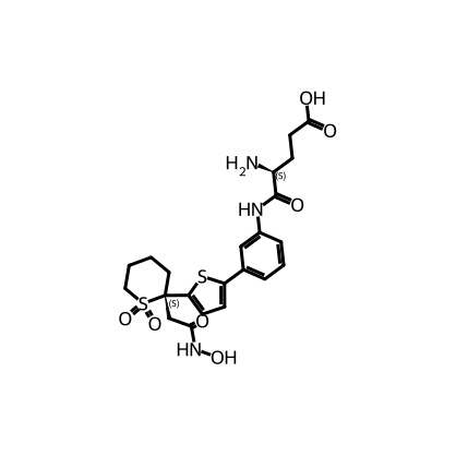 N[C@@H](CCC(=O)O)C(=O)Nc1cccc(-c2ccc([C@@]3(CC(=O)NO)CCCCS3(=O)=O)s2)c1